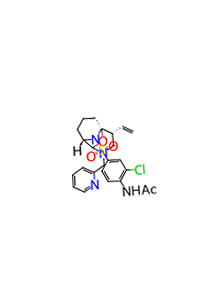 C=C[C@@H]1CN(Cc2ccccn2)C2O[C@]13CCC[C@@H]2N3S(=O)(=O)c1ccc(NC(C)=O)c(Cl)c1